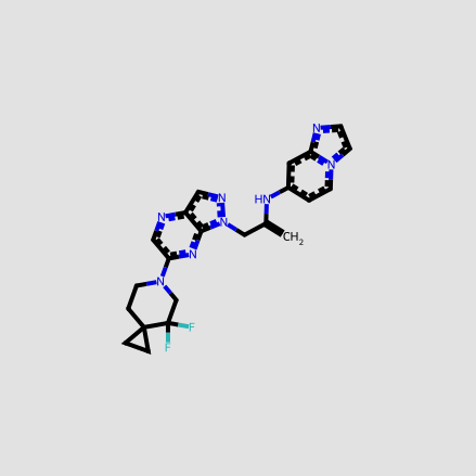 C=C(Cn1ncc2ncc(N3CCC4(CC4)C(F)(F)C3)nc21)Nc1ccn2ccnc2c1